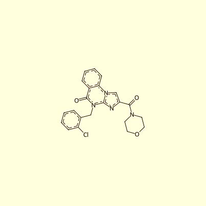 O=C(c1cn2c3ccccc3c(=O)n(Cc3ccccc3Cl)c2n1)N1CCOCC1